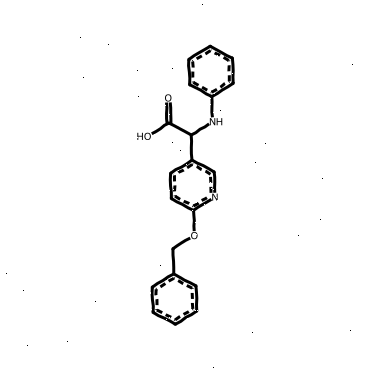 O=C(O)C(Nc1ccccc1)c1ccc(OCc2ccccc2)nc1